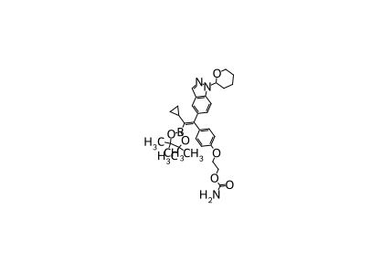 CC1(C)OB(C(=C(c2ccc(OCCOC(N)=O)cc2)c2ccc3c(cnn3C3CCCCO3)c2)C2CC2)OC1(C)C